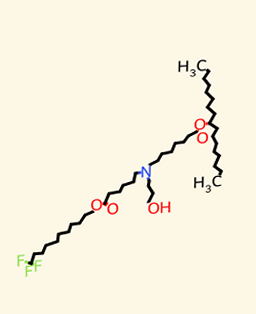 CCCCCCCCC(CCCCCCCC)OC(=O)CCCCCCCN(CCCCO)CCCCCC(=O)OCCCCCCCCCCC(F)(F)F